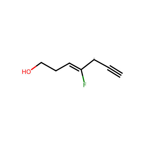 C#C[CH]C(F)=CCCO